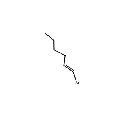 CCCCC=C[As]